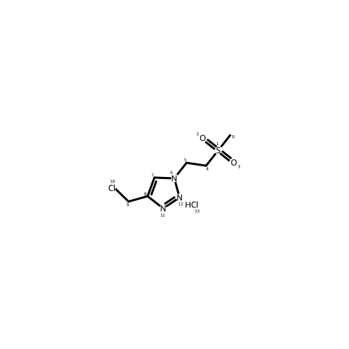 CS(=O)(=O)CCn1cc(CCl)nn1.Cl